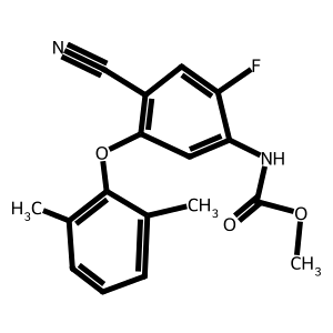 COC(=O)Nc1cc(Oc2c(C)cccc2C)c(C#N)cc1F